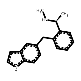 CN[C@@H](C)c1ccccc1Cc1ccc2[nH]ccc2c1